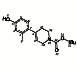 Cc1cc(O)ccc1C1=CCN(C(=O)OC(C)(C)C)CC1